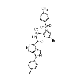 CC[C@@H](NC(=O)c1cncc2c1cnn2-c1ccc(F)cc1)c1cc(Br)cn1S(=O)(=O)c1ccc(C)cc1